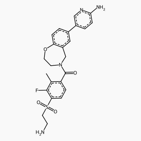 Cc1c(C(=O)N2CCOc3ccc(-c4ccc(N)nc4)cc3C2)ccc(S(=O)(=O)CCN)c1F